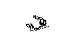 COCC(NC1CCCCC1)c1cccc(OCC[C@]23CCC4C(CCC5CC(=O)CC[C@@]54C)C2CC[C@@H]3O)c1